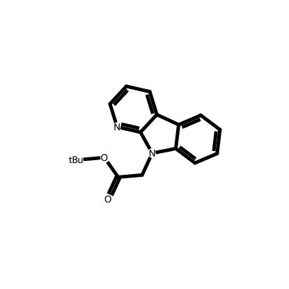 CC(C)(C)OC(=O)Cn1c2ccccc2c2cccnc21